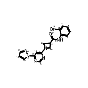 O=C(Nc1ccccc1Br)C1CN(c2cc(-n3cccn3)ncn2)C1